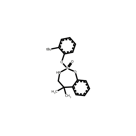 CC(C)(C)c1ccccc1OP1(=O)NCC(C)(C)c2ccccc2O1